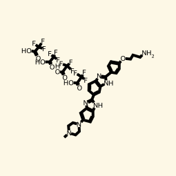 CN1CCN(c2ccc3[nH]c(-c4ccc5nc(-c6ccc(OCCCN)cc6)[nH]c5c4)nc3c2)CC1.O=C(O)C(F)(F)F.O=C(O)C(F)(F)F.O=C(O)C(F)(F)F.O=C(O)C(F)(F)F